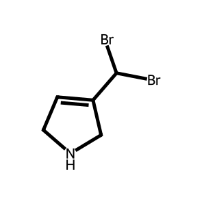 BrC(Br)C1=CCNC1